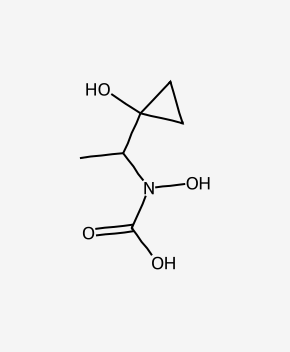 CC(N(O)C(=O)O)C1(O)CC1